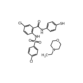 CCN1CCOCC1.O=C(Nc1ccc(S)cc1)c1cc(Cl)ccc1NS(=O)(=O)c1ccc(Cl)cc1